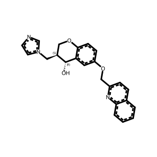 O[C@H]1c2cc(OCc3ccc4ccccc4n3)ccc2OC[C@@H]1Cn1ccnc1